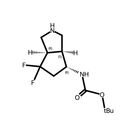 CC(C)(C)OC(=O)N[C@@H]1CC(F)(F)[C@H]2CNC[C@@H]12